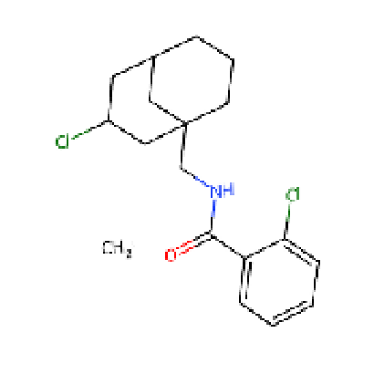 O=C(NCC12CCCC(CC(Cl)C1)C2)c1ccccc1Cl.[CH2]